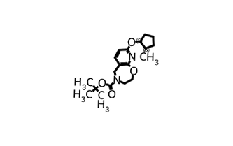 C[C@H]1CCC[C@@H]1Oc1ccc2c(n1)OCCN(C(=O)OC(C)(C)C)C2